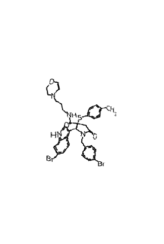 Cc1ccc(S[C@@]2(C(=O)NCCCN3CCOCC3)CC(=O)N(Cc3ccc(Br)cc3)[C@H]2c2c[nH]c3cc(Br)ccc23)cc1